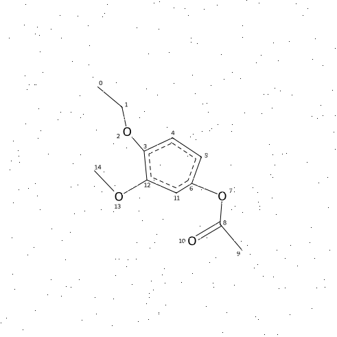 CCOc1ccc(OC(C)=O)cc1OC